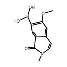 COc1cc2ccn(C)c(=O)c2cc1B(O)O